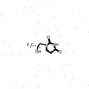 O=c1ccn(C[C@H](O)C(F)(F)F)c(=O)[nH]1